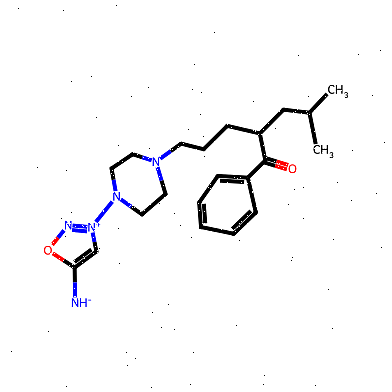 CC(C)CC(CCCN1CCN([n+]2cc([NH-])on2)CC1)C(=O)c1ccccc1